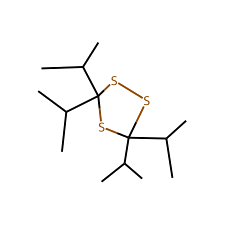 CC(C)C1(C(C)C)SSC(C(C)C)(C(C)C)S1